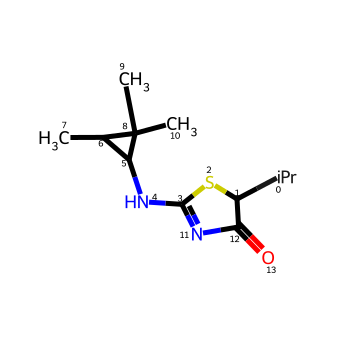 CC(C)C1SC(NC2C(C)C2(C)C)=NC1=O